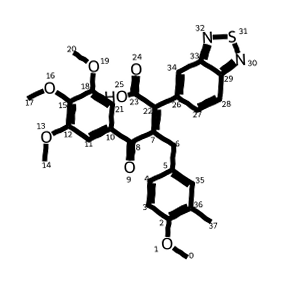 COc1ccc(CC(C(=O)c2cc(OC)c(OC)c(OC)c2)=C(C(=O)O)c2ccc3nsnc3c2)cc1C